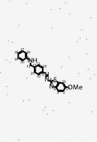 COc1ccc2nc(N=Nc3ccc(CNc4ccccc4)cc3)sc2c1